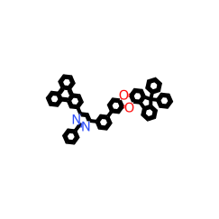 c1ccc(-c2nc(-c3cccc(-c4ccc5c(c4)Oc4c(ccc6c4-c4ccccc4C6(c4ccccc4)c4ccccc4)O5)c3)cc(-c3ccc4c5ccccc5c5ccccc5c4c3)n2)cc1